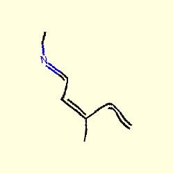 C=C/C(C)=C\C=N\C